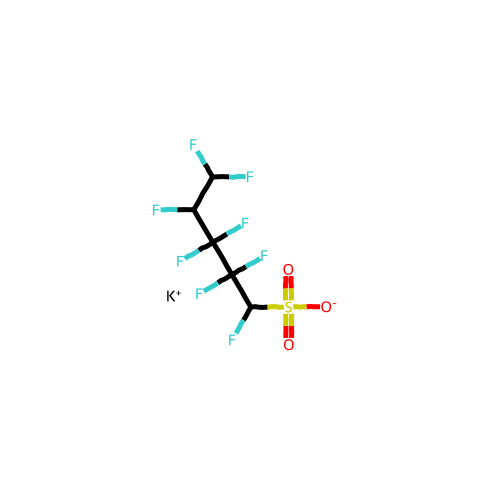 O=S(=O)([O-])C(F)C(F)(F)C(F)(F)C(F)C(F)F.[K+]